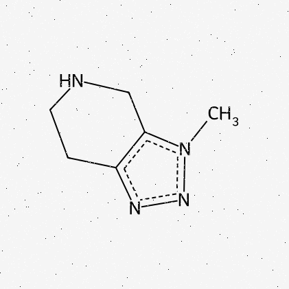 Cn1nnc2c1CNCC2